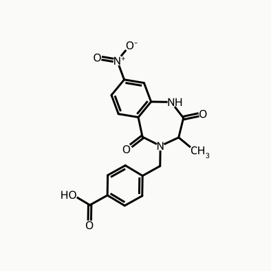 CC1C(=O)Nc2cc([N+](=O)[O-])ccc2C(=O)N1Cc1ccc(C(=O)O)cc1